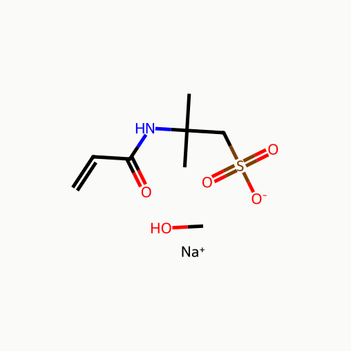 C=CC(=O)NC(C)(C)CS(=O)(=O)[O-].CO.[Na+]